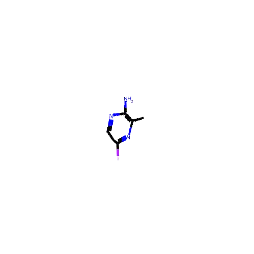 Cc1nc(I)cnc1N